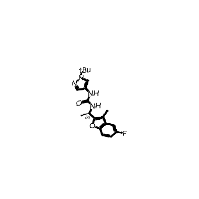 Cc1c([C@@H](C)NC(=O)Nc2cnn(C(C)(C)C)c2)oc2ccc(F)cc12